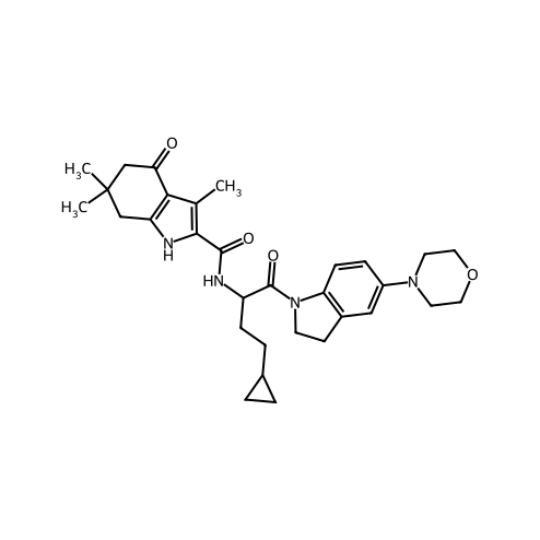 Cc1c(C(=O)NC(CCC2CC2)C(=O)N2CCc3cc(N4CCOCC4)ccc32)[nH]c2c1C(=O)CC(C)(C)C2